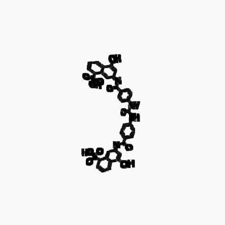 O=C(Nc1ccc(C(=O)N=C2C=C(O)C3=CC=CC(S(=O)(=O)O)C3=C2)cc1)Nc1ccc(C(=O)N=C2C=C(O)C3=CC=CC(S(=O)(=O)O)C3=C2)cc1